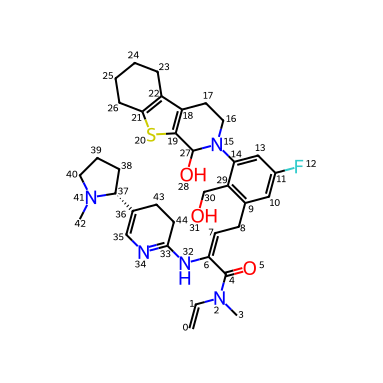 C=CN(C)C(=O)/C(=C\Cc1cc(F)cc(N2CCc3c(sc4c3CCCC4)C2O)c1CO)NC1=NC=C([C@H]2CCCN2C)CC1